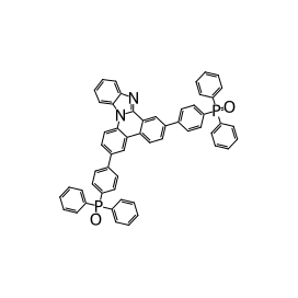 O=P(c1ccccc1)(c1ccccc1)c1ccc(-c2ccc3c(c2)c2ccc(-c4ccc(P(=O)(c5ccccc5)c5ccccc5)cc4)cc2c2nc4ccccc4n32)cc1